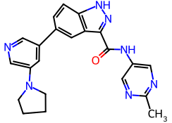 Cc1ncc(NC(=O)c2n[nH]c3ccc(-c4cncc(N5CCCC5)c4)cc23)cn1